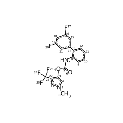 Cn1cc(OC(=O)Nc2ccccc2-c2cc(F)cc(F)c2)c(C(F)(F)F)n1